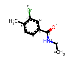 CCNC(=O)c1ccc(C)c(Br)c1